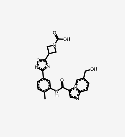 Cc1ccc(-c2noc(C3CN(C(=O)O)C3)n2)cc1NC(=O)c1cnc2ccc(CO)cn12